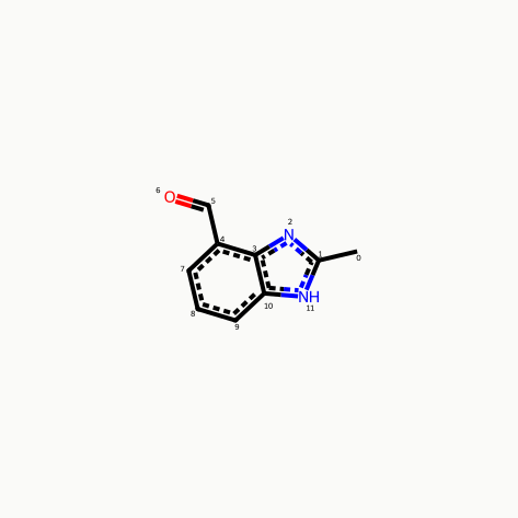 Cc1nc2c(C=O)cccc2[nH]1